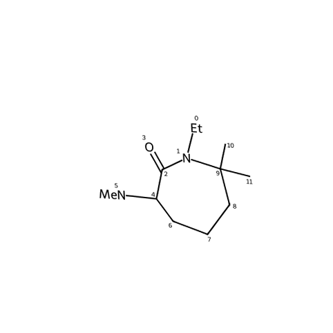 CCN1C(=O)C(NC)CCCC1(C)C